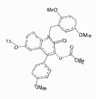 CCOc1ccc2c(c1)c(-c1ccc(OC)cc1)c(OC(=O)OC)c(=O)n2Cc1cc(OC)ccc1OC